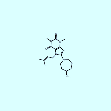 CC(C)=CCn1c(N2CCCC(N)CC2)nc2c1c(=O)n(C)c(=O)n2C